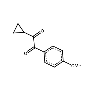 COc1ccc(C(=O)C(=O)C2CC2)cc1